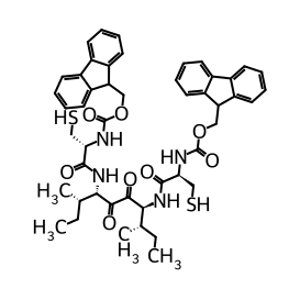 CC[C@H](C)[C@H](NC(=O)[C@H](CS)NC(=O)OCC1c2ccccc2-c2ccccc21)C(=O)C(=O)[C@@H](NC(=O)[C@H](CS)NC(=O)OCC1c2ccccc2-c2ccccc21)[C@@H](C)CC